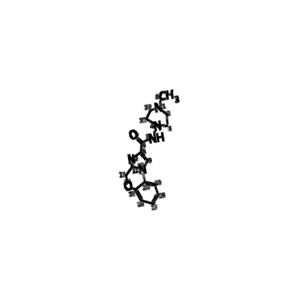 CN1CCN(NC(=O)c2cn3c(n2)COc2ccccc2-3)CC1